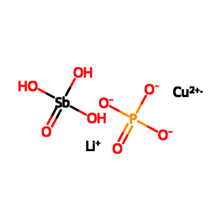 O=P([O-])([O-])[O-].[Cu+2].[Li+].[O]=[Sb]([OH])([OH])[OH]